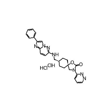 Cl.Cl.O=C1O[C@]2(CC[C@H](CNc3ccc4nc(-c5ccccc5)cn4n3)CC2)CN1c1cccnn1